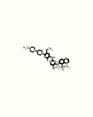 CCc1cc(Nc2ncc(Br)c(Nc3ccc4nccnc4c3P(C)(C)=O)n2)c(F)nc1N1CCC(N2CCN(C)CC2)CC1